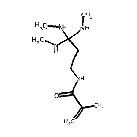 C=C(C)C(=O)NCCC(NC)(NC)NC